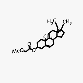 COCC(=O)OC1CCC2(C)C(=CCC3C2CCC24CN(C)C(C)C2CCC34)C1